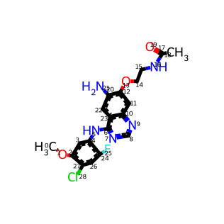 COc1cc(Nc2ncnc3cc(OCCNC(C)=O)c(N)cc23)c(F)cc1Cl